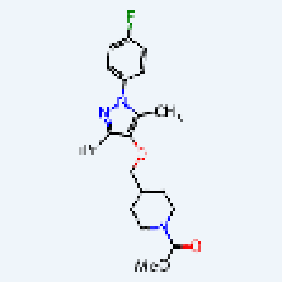 COC(=O)N1CCC(COc2c(C(C)C)nn(-c3ccc(F)cc3)c2C)CC1